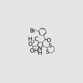 Cc1c(C(=O)O)[nH]c(C2SCCCS2)c1C(=O)c1cccc(Br)c1